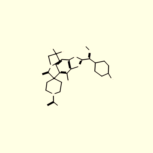 BC1(C)CN(C(=C)C2(c3ccc4[nH]c(/C(=N\C)C5CCC(P)CC5)nc4c3P)CCN(C(=C)C)CC2)C1